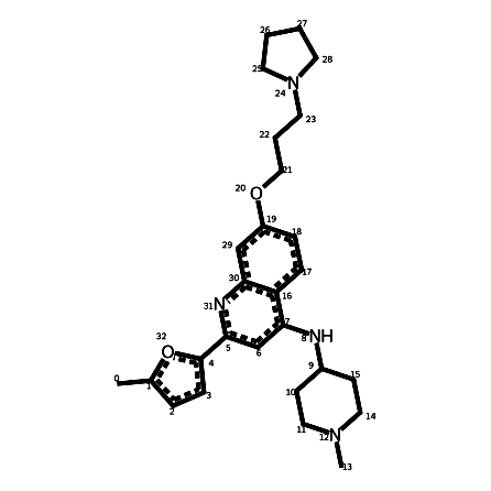 Cc1ccc(-c2cc(NC3CCN(C)CC3)c3ccc(OCCCN4CCCC4)cc3n2)o1